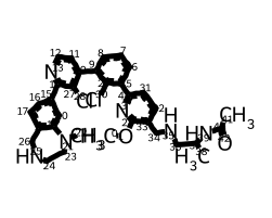 COc1nc(-c2cccc(-c3ccnc(-c4ccc5c(c4)N(C)CCNC5)c3Cl)c2Cl)ccc1CNCC(C)NC(C)=O